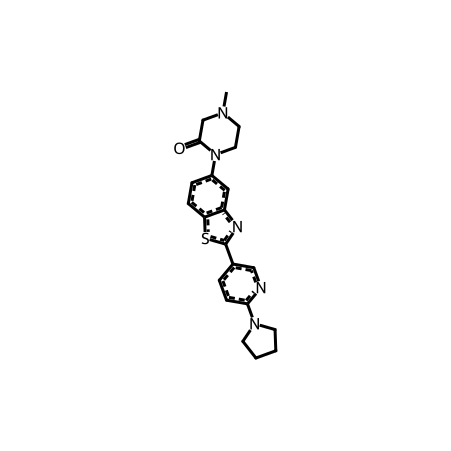 CN1CCN(c2ccc3sc(-c4ccc(N5CCCC5)nc4)nc3c2)C(=O)C1